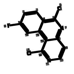 Fc1ccc2c(Cl)nc3ccnc(Cl)c3c2c1